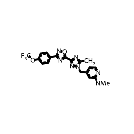 CNc1cc(Cn2nc(-c3nc(-c4ccc(OC(F)(F)F)cc4)no3)nc2C)ccn1